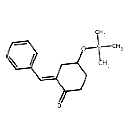 C[Si](C)(C)OC1CCC(=O)C(=Cc2ccccc2)C1